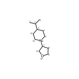 CC(C)C1CCN(C2CCOC2)CC1